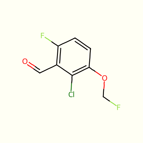 O=Cc1c(F)ccc(OCF)c1Cl